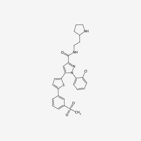 CS(=O)(=O)c1cccc(-c2ccc(-c3cc(C(=O)NCCC4CCCN4)nn3-c3ccccc3Cl)s2)c1